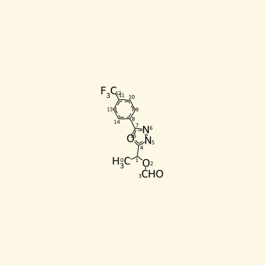 CC(OC=O)c1nnc(-c2ccc(C(F)(F)F)cc2)o1